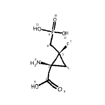 N[C@]1(C(=O)O)C[C@@]1(F)CP(=O)(O)O